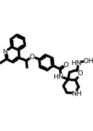 Cc1cc(C(C)Oc2ccc(C(=O)NC3(CC(=O)NO)CCNCC3C)cc2)c2ccccc2n1